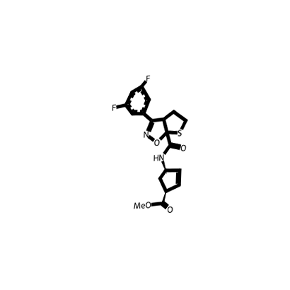 COC(=O)[C@@H]1C=C[C@H](NC(=O)C23ON=C(c4cc(F)cc(F)c4)C2CCS3)C1